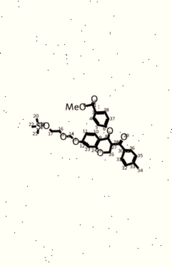 COC(=O)c1ccc(OC2c3ccc(OCOCCO[Si](C)(C)C)cc3OCC2C(=O)c2ccc(C)cc2)cc1